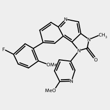 COc1ccc(-n2c(=O)n(C)c3cnc4ccc(-c5cc(F)ccc5OC)cc4c32)cn1